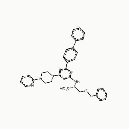 O=C(O)[C@@H](CSCc1ccccc1)Nc1nc(-c2ccc(-c3ccccc3)cc2)nc(N2CCN(c3ccccn3)CC2)n1